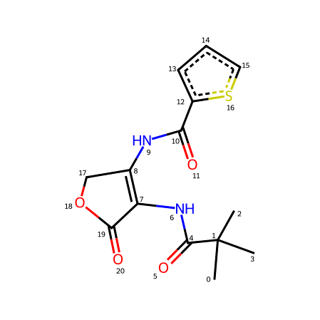 CC(C)(C)C(=O)NC1=C(NC(=O)c2cccs2)COC1=O